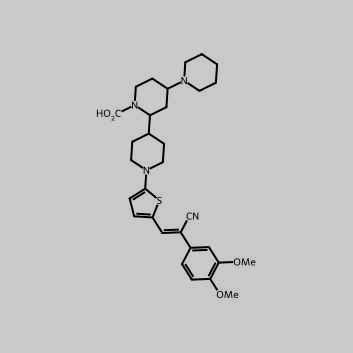 COc1ccc(C(C#N)=Cc2ccc(N3CCC(C4CC(N5CCCCC5)CCN4C(=O)O)CC3)s2)cc1OC